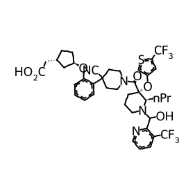 CCC[C@H]1N(C(O)c2ncccc2C(F)(F)F)CCC[C@@]1(Oc1csc(C(F)(F)F)c1)C(=O)N1CCC(C#N)(c2ccccc2O[C@@H]2CC[C@@H](CC(=O)O)C2)CC1